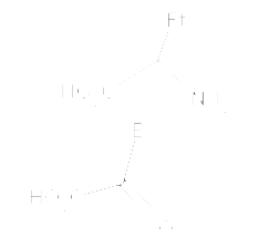 CCC(=O)C(=O)O.CCC(N)C(=O)O